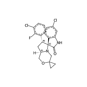 O=C1Nc2cc(Cl)ccc2[C@@]12[C@@H](c1cccc(Cl)c1F)C[C@@H]1COC3(CC3)CN12